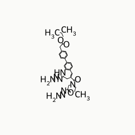 CCCN(CC(=O)N=NN)C(=O)C1=Cc2ccc(-c3ccc(CC(=O)OCC(C)C)cc3)cc2NC(N=NN)C1